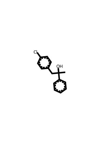 CC(O)(Cc1ccc(Cl)cc1)c1ccccc1